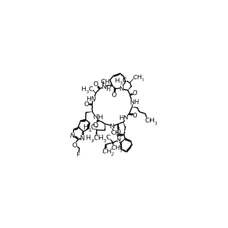 C=CC(C)(C)n1cc(C[C@@H]2NC(=O)[C@H](CCCC)NC(=O)[C@H](CC(C)C)N3CC/C=C\C[C@@H](C3=O)N(C)C(=O)[C@H](C)NC(=O)[C@H](Cc3ccc4nc(OCF)ncc4c3)NC(=O)[C@H](CC(C)C)N(C)C2=O)c2ccccc21